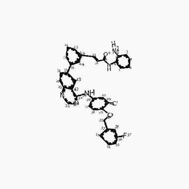 Nc1ccccc1NC(=O)C=Cc1cccc(-c2ccc3ncnc(Nc4ccc(OCc5cccc(F)c5)c(Cl)c4)c3c2)c1